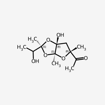 CC(=O)[C@@]1(C)C[C@@]2(O)O[C@](C)(C(C)O)O[C@]2(C)O1